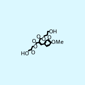 COc1ccc(C=C(C(=O)OCC(=O)CO)C(=O)OCC(=O)CO)cc1